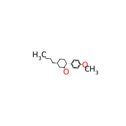 CCCC[C@H]1CC[C@H](c2ccc(OC)cc2)C(=O)C1